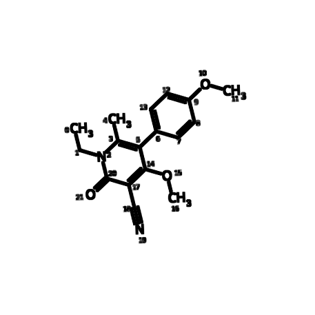 CCn1c(C)c(-c2ccc(OC)cc2)c(OC)c(C#N)c1=O